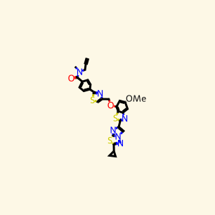 C#CCN(C)C(=O)c1ccc(-c2nc(COc3cc(OC)cc4nc(-c5cn6nc(C7CC7)sc6n5)sc34)cs2)cc1